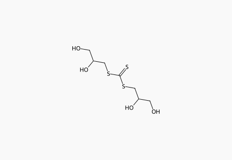 OCC(O)CSC(=S)SCC(O)CO